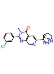 Cn1c(-c2cccc(Cl)c2)nc2cnc(C3CNN4CCC3CC4)cc2c1=O